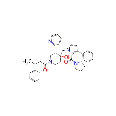 CC(CC(=O)N1CCC(O)(Cn2ccc(-c3ccccc3)c2C(=O)N2CCCC2)CC1)c1ccccc1.c1ccncc1